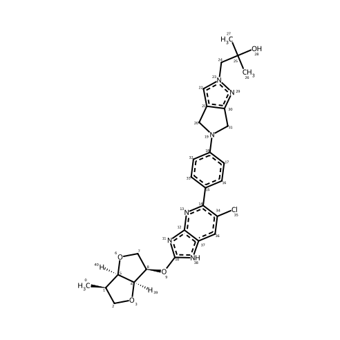 C[C@@H]1CO[C@H]2[C@@H]1OC[C@H]2Oc1nc2nc(-c3ccc(N4Cc5cn(CC(C)(C)O)nc5C4)cc3)c(Cl)cc2[nH]1